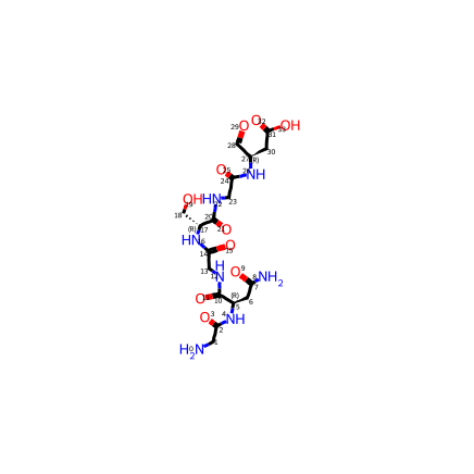 NCC(=O)N[C@H](CC(N)=O)C(=O)NCC(=O)N[C@H](CO)C(=O)NCC(=O)N[C@@H](C=O)CC(=O)O